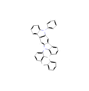 B1c2ccccc2B2c3c1cccc3-n1c3cc4c5ccccc5n(-c5ccccc5)c4cc3c3cccc2c31